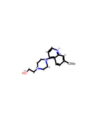 COc1ccc2c(N3CCN(CCO)CC3)ccnc2c1